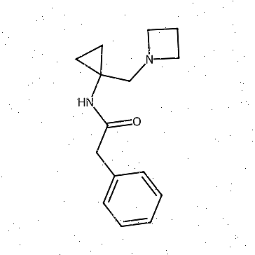 O=C(Cc1ccccc1)NC1(CN2CCC2)CC1